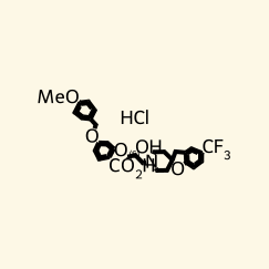 COc1ccc(COc2ccc(C(=O)O)c(OC[C@@H](O)CN3CCC4(CC3)Cc3cc(C(F)(F)F)ccc3O4)c2)cc1.Cl